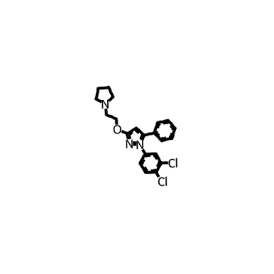 Clc1ccc(-n2nc(OCCN3CCCC3)cc2-c2ccccc2)cc1Cl